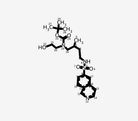 CC(CCNS(=O)(=O)c1ccc2cnccc2c1)CN(CCO)C(=O)OC(C)(C)C